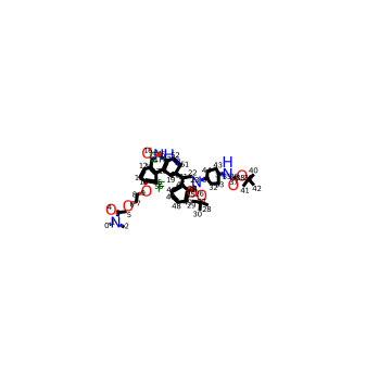 CN(C)C(=O)COCCOc1ccc(C(N)=O)c(-c2cc(C(CN(C(=O)OC(C)(C)C)C3CCC(NC(=O)OC(C)(C)C)CC3)c3ccccc3)ccc2Cl)c1F